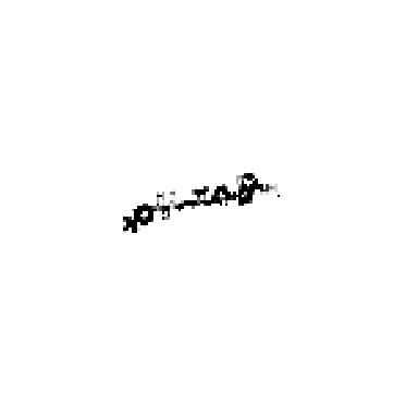 CC(C)N(CCCNC(=O)Nc1ccc(C(C)(C)C)cc1)C[C@@H]1CC[C@H](n2ccc3c(N)ncnc32)O1